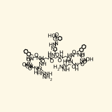 N=C(N)NCCC[C@@H]1NC(=O)/C(=C\CCCNC(=O)C(CCC(=O)NCCCC[C@@H]2NC(=O)[C@@H](Cc3ccc4ccccc4c3)NC(=O)[C@H](CC(=O)O)NC(=O)CNC(=O)[C@H](CCCNC(=N)N)NC2=O)NC(=O)c2ccc(NN=Cc3ccccc3S(=O)(=O)O)nc2)NC(=O)[C@@H](Cc2ccc3ccccc3c2)NC(=O)[C@H](CC(=O)O)NC(=O)CNC1=O